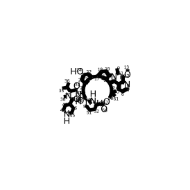 CCn1c(-c2cccnc2[C@H](C)OC)c2c3cc(ccc31)-c1cc(O)cc(c1)C[C@H](NC(=O)C(C(C)C)N(C)C(=O)C1CCNCC1)C(=O)N1CCC[C@H](N1)C(=O)OCC(C)(C)C2